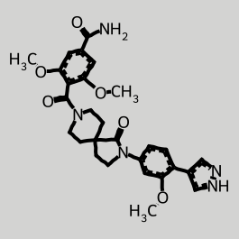 COc1cc(N2CCC3(CCN(C(=O)c4c(OC)cc(C(N)=O)cc4OC)CC3)C2=O)ccc1-c1cn[nH]c1